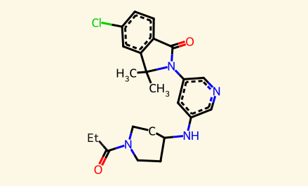 CCC(=O)N1CCC(Nc2cncc(N3C(=O)c4ccc(Cl)cc4C3(C)C)c2)CC1